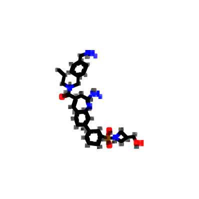 CCCN(Cc1ccc(CN)cc1)C(=O)C1=Cc2ccc(-c3cccc(S(=O)(=O)N4CC(CO)C4)c3)cc2N=C(N)C1